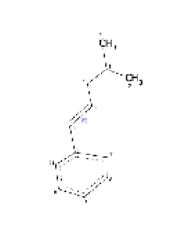 CC(C)[CH]/C=C/c1ccccc1